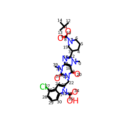 Cn1c(C2CCCN(C(=O)OC(C)(C)C)C2)nc2c1c(=O)n(Cc1cc3c(Cl)cccc3n1C(=O)O)c(=O)n2C